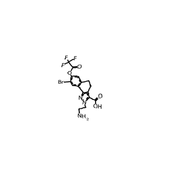 NCCn1nc2c(c1C(=O)O)CCc1cc(OC(=O)C(F)(F)F)c(Br)cc1-2